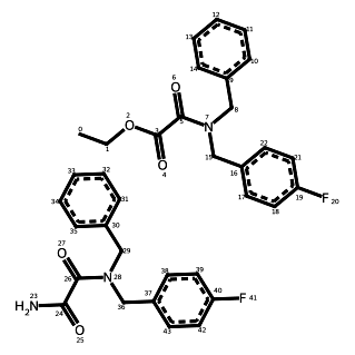 CCOC(=O)C(=O)N(Cc1ccccc1)Cc1ccc(F)cc1.NC(=O)C(=O)N(Cc1ccccc1)Cc1ccc(F)cc1